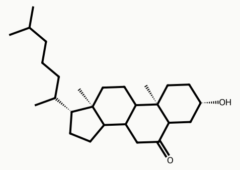 CC(C)CCCC(C)[C@H]1CCC2C3CC(=O)C4C[C@@H](O)CC[C@]4(C)C3CC[C@@]21C